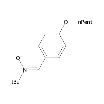 CCCCCOc1ccc(C=[N+]([O-])C(C)(C)C)cc1